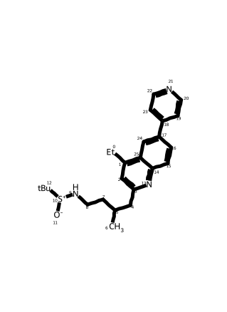 CCc1cc(CC(C)CCN[S+]([O-])C(C)(C)C)nc2ccc(-c3ccncc3)cc12